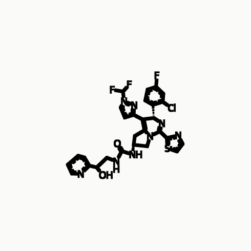 O=C(NCC(O)c1ccccn1)N[C@H]1CC2=C(c3ccn(C(F)F)n3)[C@H](c3ccc(F)cc3Cl)N=C(c3nccs3)N2C1